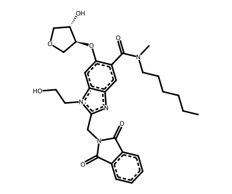 CCCCCCN(C)C(=O)c1cc2nc(CN3C(=O)c4ccccc4C3=O)n(CCO)c2cc1O[C@H]1COC[C@@H]1O